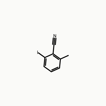 Cc1cccc(I)c1C#N